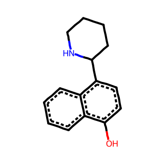 Oc1ccc(C2CCCCN2)c2ccccc12